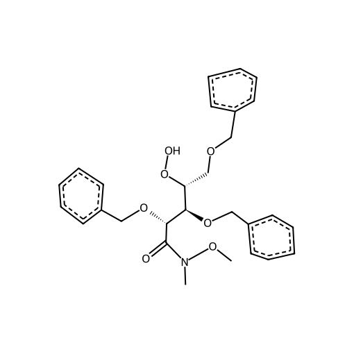 CON(C)C(=O)[C@H](OCc1ccccc1)[C@H](OCc1ccccc1)[C@@H](COCc1ccccc1)OO